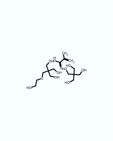 C=C(C)C(=O)O.OCC(CO)(CO)CO.OCCOCC(CO)(CO)CO